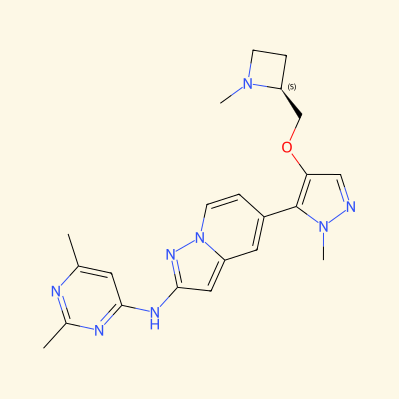 Cc1cc(Nc2cc3cc(-c4c(OC[C@@H]5CCN5C)cnn4C)ccn3n2)nc(C)n1